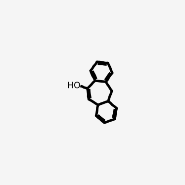 OC1=CC2C=CC=CC2Cc2ccccc21